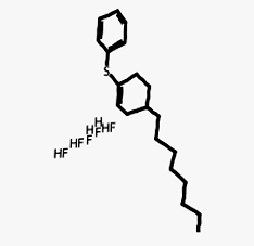 CCCCCCCCC1CC=C(Sc2ccccc2)CC1.F.F.F.F.F